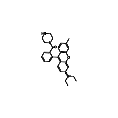 CC[N+](CC)=c1ccc2c(-c3ccccc3C(=O)N3CCNCC3)c3ccc(C)cc3oc-2c1